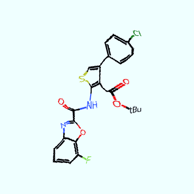 CC(C)(C)OC(=O)c1c(-c2ccc(Cl)cc2)csc1NC(=O)c1nc2cccc(F)c2o1